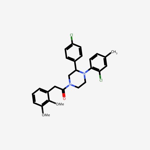 COc1cccc(CC(=O)N2CCN(c3ccc(C)cc3Cl)C(c3ccc(Cl)cc3)C2)c1OC